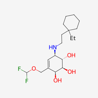 CCC1(CCN[C@@H]2C=C(COC(F)F)[C@H](O)[C@H](O)[C@H]2O)CCCCC1